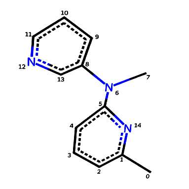 Cc1cccc(N(C)c2cccnc2)n1